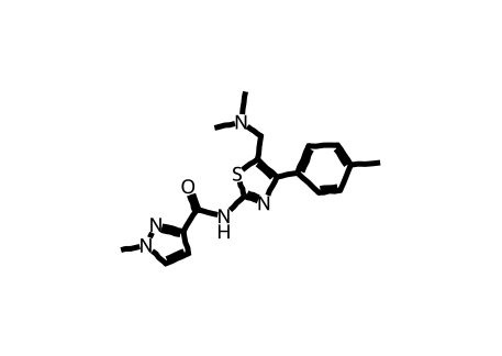 Cc1ccc(-c2nc(NC(=O)c3ccn(C)n3)sc2CN(C)C)cc1